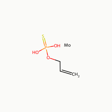 C=CCOP(O)(O)=S.[Mo]